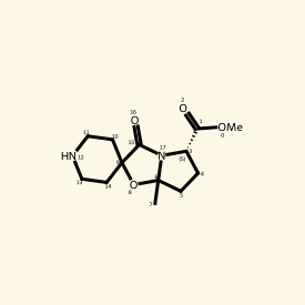 COC(=O)[C@@H]1CCC2(C)OC3(CCNCC3)C(=O)N12